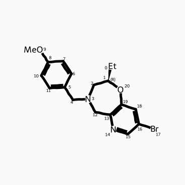 CC[C@@H]1CN(Cc2ccc(OC)cc2)Cc2ncc(Br)cc2O1